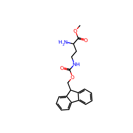 COC(=O)C(N)CCNC(=O)OCC1c2ccccc2-c2ccccc21